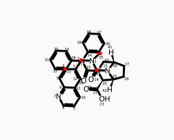 CN(Cc1ccc2ncccc2c1)C(=O)N1[C@H]2CC[C@@H]1[C@@H](C(=O)O)N(C(=O)N(c1ccccc1)c1ccccc1)C2